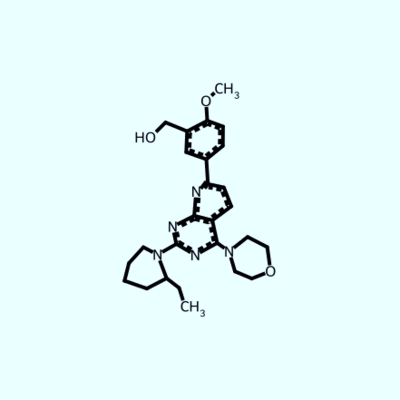 CCC1CCCCN1c1nc(N2CCOCC2)c2ccc(-c3ccc(OC)c(CO)c3)nc2n1